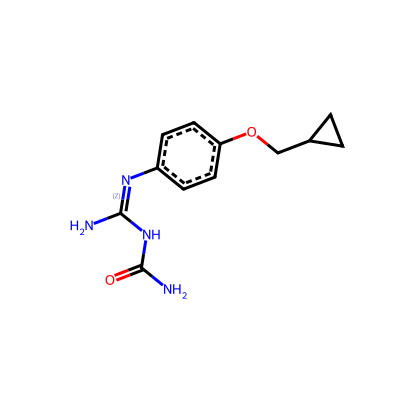 NC(=O)N/C(N)=N\c1ccc(OCC2CC2)cc1